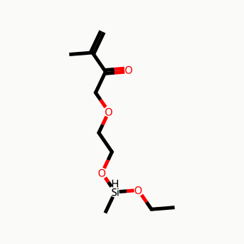 C=C(C)C(=O)COCCO[SiH](C)OCC